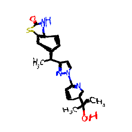 CC(c1ccc2[nH]c(=O)sc2c1)c1ccn(-c2ccc(C(C)(C)O)cn2)n1